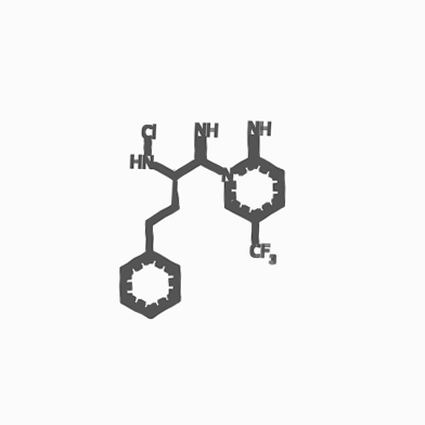 N=C([C@@H](CCc1ccccc1)NCl)n1cc(C(F)(F)F)ccc1=N